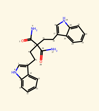 NC(=O)C(CCc1c[nH]c2ccccc12)(CCc1c[nH]c2ccccc12)C(N)=O